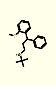 COc1ccccc1C(CCNC(C)(C)C)c1ccccc1